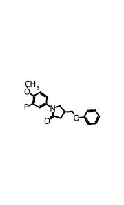 COc1ccc(N2CC(COc3ccccc3)CC2=O)cc1F